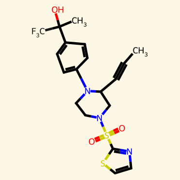 CC#CC1CN(S(=O)(=O)c2nccs2)CCN1c1ccc(C(C)(O)C(F)(F)F)cc1